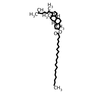 CCCCCCCCCCCCCCCCCCCCCC(=O)OC1CC[C@@]2(C)C(CC[C@H]3[C@@H]4CC[C@H]([C@H](C)CCCC(C)C)[C@@]4(C)CC[C@@H]32)C1